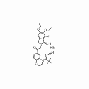 Br.CCOc1cc2c(c(F)c1OCC)C(=N)N(CC(=O)c1ccc3c(c1)N(C(=NC#N)C(C)(C)C)CCO3)C2